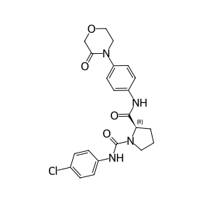 O=C(Nc1ccc(N2CCOCC2=O)cc1)[C@H]1CCCN1C(=O)Nc1ccc(Cl)cc1